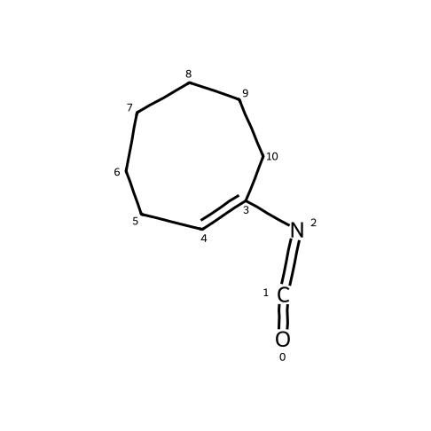 O=C=N/C1=C/CCCCCC1